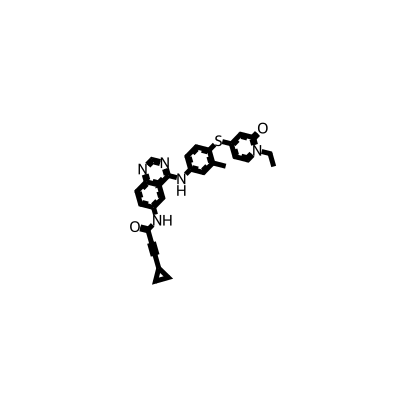 CCn1ccc(Sc2ccc(Nc3ncnc4ccc(NC(=O)C#CC5CC5)cc34)cc2C)cc1=O